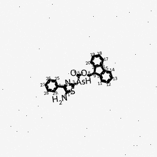 Nc1sc([AsH]C(=O)OCC2c3ccccc3-c3ccccc32)nc1-c1ccccc1